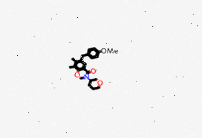 COc1ccc(Cc2cc3c(c(C)c2C)OCN([C@@H]2CCCOC2)C3=O)cc1